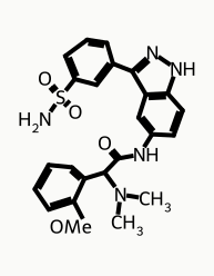 COc1ccccc1C(C(=O)Nc1ccc2[nH]nc(-c3cccc(S(N)(=O)=O)c3)c2c1)N(C)C